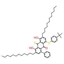 CCCCCCCCCCCCc1cc(Sc2ccc(C(C)(C)C)cc2)c2c(c1O)C(=S)c1c(O)c(CCCCCCCCCCCC)cc(-c3ccccc3)c1C2=O